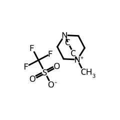 C[N+]12CCN(CC1)CC2.O=S(=O)([O-])C(F)(F)F